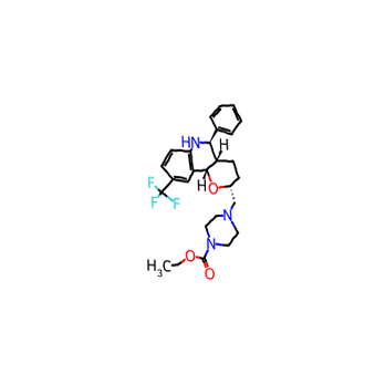 CCOC(=O)N1CCN(C[C@H]2CC[C@@H]3[C@H](O2)c2cc(C(F)(F)F)ccc2N[C@H]3c2ccccc2)CC1